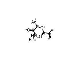 C=C(C)C(=O)OC(C(C)=O)C(=O)NCC